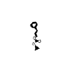 O=C([N]C1CC1)OCCCc1ccccc1